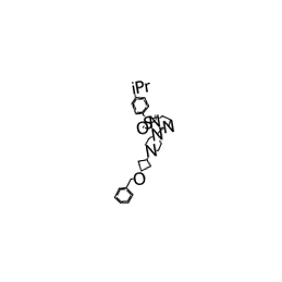 CC(C)c1ccc([S+]([O-])N2CCN=C2N2CCN(C3CC(OCc4ccccc4)C3)CC2)cc1